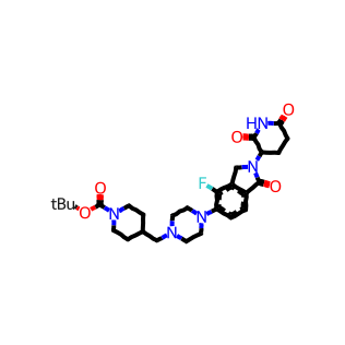 CC(C)(C)OC(=O)N1CCC(CN2CCN(c3ccc4c(c3F)CN(C3CCC(=O)NC3=O)C4=O)CC2)CC1